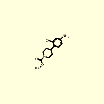 CC(C)(C)OC(=O)N1CCC(c2ccc(N)cc2Cl)CC1